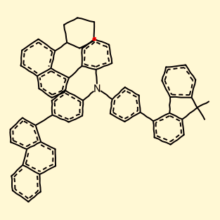 CC1(C)c2ccccc2-c2c(-c3ccc(N(c4ccc(-c5cccc6c5ccc5ccccc56)cc4)c4ccccc4-c4cccc5cccc(C6CCCCC6)c45)cc3)cccc21